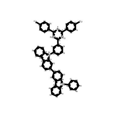 Ic1ccc(-c2nc(-c3ccc(I)cc3)nc(-c3cccc(-n4c5ccccc5c5ccc(-c6ccc7c(c6)c6ccccc6n7-c6ccccc6)cc54)c3)n2)cc1